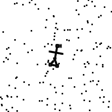 C[C](C)(O)[V]1[O][O]1